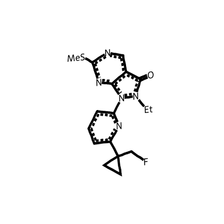 CCn1c(=O)c2cnc(SC)nc2n1-c1cccc(C2(CF)CC2)n1